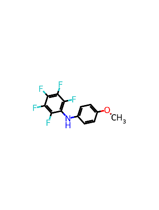 COc1ccc(Nc2c(F)c(F)c(F)c(F)c2F)cc1